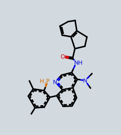 Cc1cc(C)c(P)c(-c2cccc3c(N(C)C)c(NC(=O)C4CCC5=C4C=CCC5)cnc23)c1